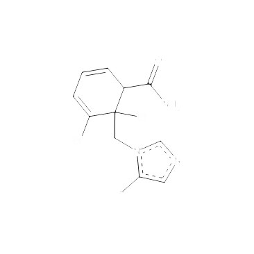 CCC1=CC=CC(C(N)=O)C1(CC)Cn1cncc1I